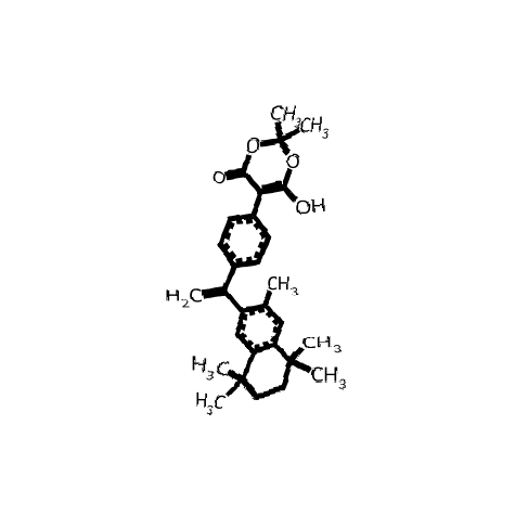 C=C(c1ccc(C2=C(O)OC(C)(C)OC2=O)cc1)c1cc2c(cc1C)C(C)(C)CCC2(C)C